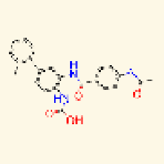 CC(=O)Nc1ccc(C(=O)Nc2cc(-c3ccccc3C)ccc2NC(=O)O)cc1